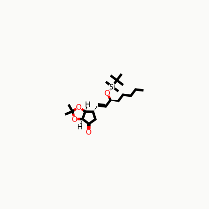 CCCCC[C@@H](/C=C/[C@@H]1CC(=O)[C@H]2OC(C)(C)O[C@@H]12)O[Si](C)(C)C(C)(C)C